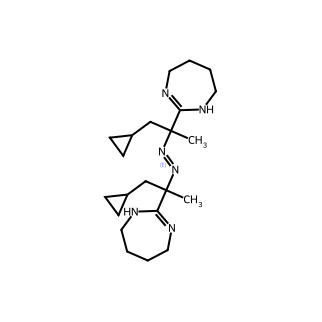 CC(CC1CC1)(/N=N/C(C)(CC1CC1)C1=NCCCCN1)C1=NCCCCN1